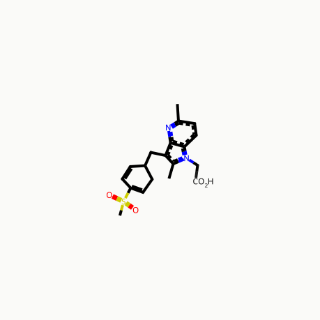 Cc1ccc2c(n1)c(CC1C=CC(S(C)(=O)=O)=CC1)c(C)n2CC(=O)O